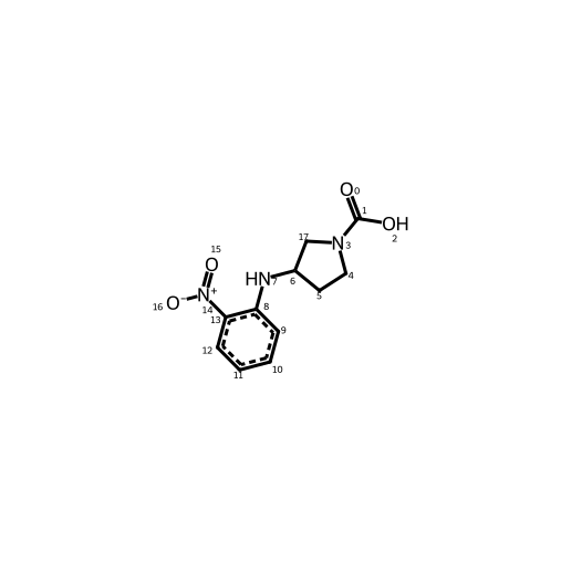 O=C(O)N1CCC(Nc2ccccc2[N+](=O)[O-])C1